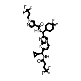 O=C(CCC(F)(F)F)NC(c1ccn2cc([C@@H](NC(=O)c3cnn(CCC(F)(F)F)c3)C3CCC(F)(F)CC3)nc2n1)C1CC1